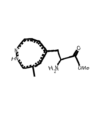 COC(=O)C(N)Cc1cccn[nH]cc(C)c1